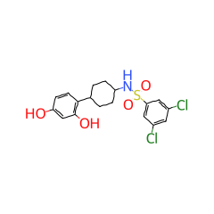 O=S(=O)(NC1CCC(c2ccc(O)cc2O)CC1)c1cc(Cl)cc(Cl)c1